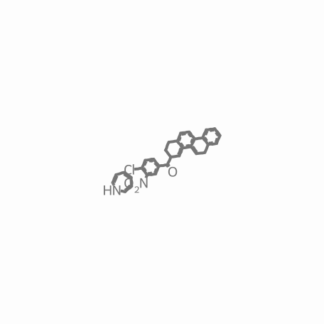 C1=CC=CNC=C1.O=C(c1ccc(Cl)c([N+](=O)[O-])c1)C1C=c2c(ccc3c2=CCc2ccccc2-3)CC1